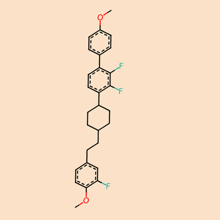 COc1ccc(-c2ccc(C3CCC(CCc4ccc(OC)c(F)c4)CC3)c(F)c2F)cc1